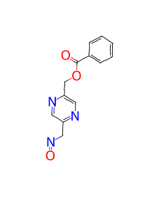 O=NCc1cnc(COC(=O)c2ccccc2)cn1